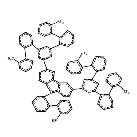 CC(C)(C)c1ccccc1-c1ccccc1-n1c2ccc(-c3cc(-c4ccccc4-c4ccccc4C(F)(F)F)cc(-c4ccccc4-c4ccccc4C(F)(F)F)c3)cc2c2cc(-c3cc(-c4ccccc4-c4ccccc4C(F)(F)F)cc(-c4ccccc4-c4ccccc4C(F)(F)F)c3)ccc21